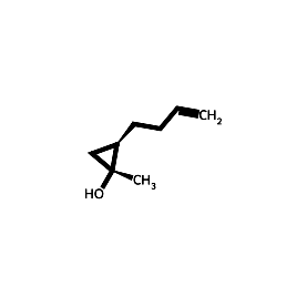 C=CCC[C@@H]1C[C@@]1(C)O